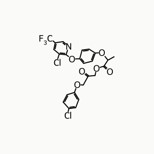 CC(Oc1ccc(Oc2ncc(C(F)(F)F)cc2Cl)cc1)C(=O)OCC(=O)COc1ccc(Cl)cc1